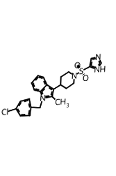 Cc1c(C2CCN(S(=O)(=O)c3cnc[nH]3)CC2)c2ccccc2n1Cc1ccc(Cl)cc1